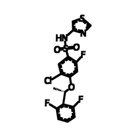 C[C@H](Oc1cc(F)c(S(=O)(=O)Nc2cscn2)cc1Cl)c1c(F)cccc1F